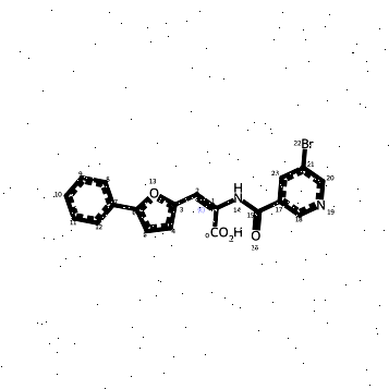 O=C(O)/C(=C\c1ccc(-c2ccccc2)o1)NC(=O)c1cncc(Br)c1